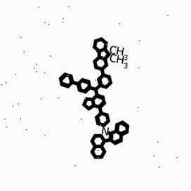 CC1(C)C2CCCCC2C2CCC(C3C=C(C(C4=CC=C(C5C=CC(N6c7c(ccc8ccccc78)C7C8CCCCC8CCC76)CC5)C5CCCC45)c4ccc(-c5ccccc5)cc4)CCC3)CC21